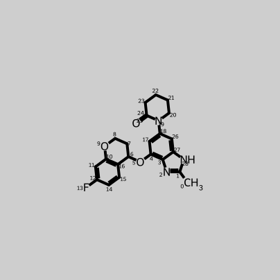 Cc1nc2c(OC3CCOc4cc(F)ccc43)cc(N3CCCCC3=O)cc2[nH]1